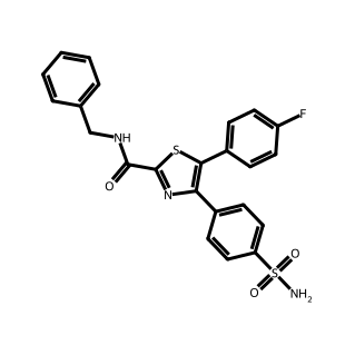 NS(=O)(=O)c1ccc(-c2nc(C(=O)NCc3ccccc3)sc2-c2ccc(F)cc2)cc1